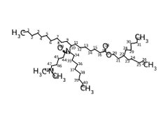 CCCCCCCCCCC(CCCCCCC(=O)OCCC(CCCCC)CCCCC)N(CCCCCCCC)C(=O)CCCCN(C)C